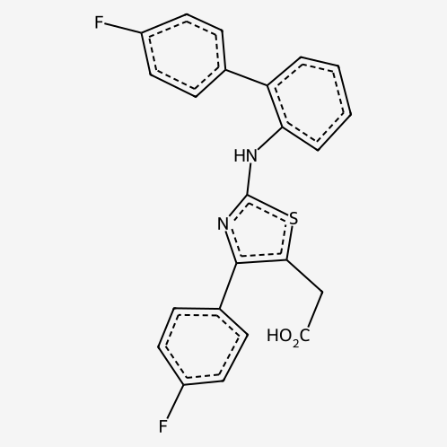 O=C(O)Cc1sc(Nc2ccccc2-c2ccc(F)cc2)nc1-c1ccc(F)cc1